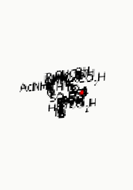 CC(=O)N[C@H]1C[C@@H](COCCS(=O)(=O)O)N(CC(=O)N[C@H](C(=O)N[C@@H](C)C(=O)Nc2ccc(COC(=O)N(C)CCOC34CC5(C)CC(C)(CC(Cn6ncc(-c7ccc(N8CCc9cccc(C(=O)Nc%10nc%11ccccc%11s%10)c9C8)nc7C(=O)O)c6C)(C5)C3)C4)c(CC[C@@H]3O[C@H](C(=O)O)[C@@H](O)[C@H](O)[C@H]3O)c2)C(C)C)C1=O